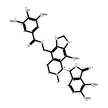 COc1cc(C(=O)OCc2c3c(c(OC)c4c2OCO4)[C@H](C2OC(=O)c4c2ccc(OC)c4OC)N(C)CC3)cc(OC)c1O